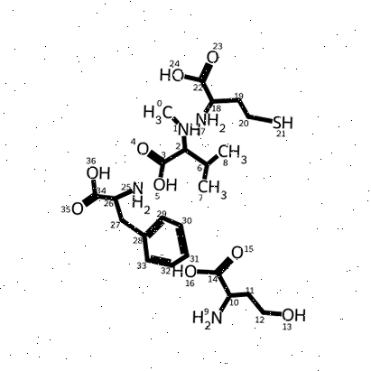 CNC(C(=O)O)C(C)C.NC(CCO)C(=O)O.NC(CCS)C(=O)O.NC(Cc1ccccc1)C(=O)O